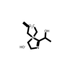 C=CC[N+]1(CC(=O)O)CCN=C1C(C)O.[OH-]